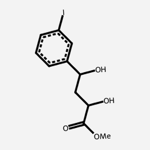 COC(=O)C(O)CC(O)c1cccc(I)c1